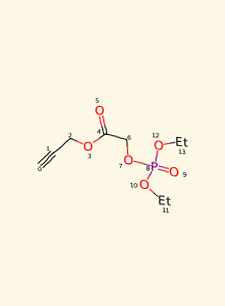 C#CCOC(=O)COP(=O)(OCC)OCC